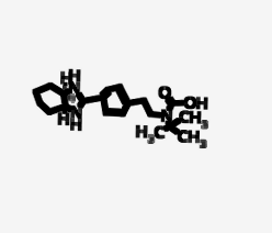 CC(C)(C)N(CCc1ccc(C2N[C@@H]3CCCC[C@H]3N2)cc1)C(=O)O